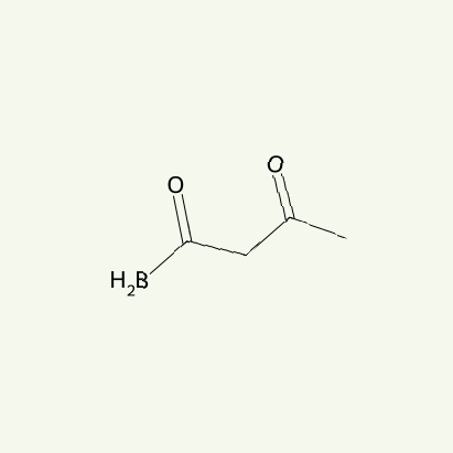 BC(=O)CC(C)=O